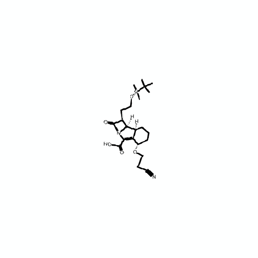 CC(C)(C)[Si](C)(C)OCC[C@@H]1C(=O)N2C(C(=O)O)=C3[C@@H](OCCC#N)CCC[C@@H]3[C@H]12